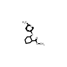 COC(=O)C1CCCCC1Sc1ccc(C)cc1